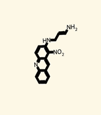 NC=CCNc1ccc2nc3ccccc3cc2c1[N+](=O)[O-]